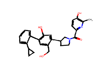 Cc1nc(C(=O)N2CCC(c3cc(O)c(-c4ccccc4C4CC4)cc3CO)C2)ccc1O